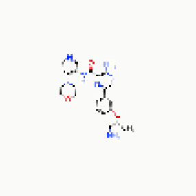 CC(CN)Oc1cccc(-c2cnc(N)c(C(=O)Nc3cnccc3N3CCOCC3)n2)c1